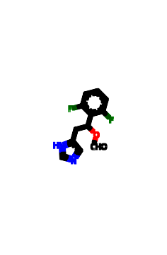 O=COC(Cc1cnc[nH]1)c1c(F)cccc1F